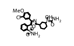 COc1ccc(-c2nc(C3CCCC(N(O)C(N)=O)C3)oc2-c2ccccc2S(N)(=O)=O)cc1Cl